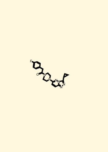 O=C(Cc1ccc(F)cc1)N1CCN(c2ccc3nnc(C4CC4)n3n2)CC1